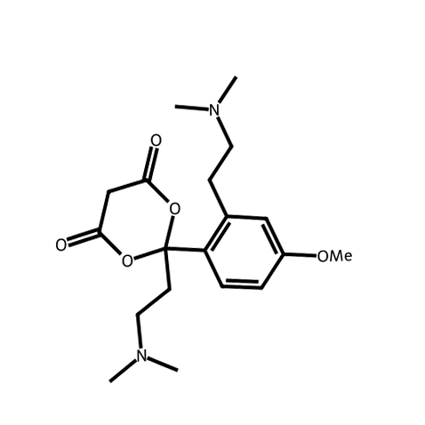 COc1ccc(C2(CCN(C)C)OC(=O)CC(=O)O2)c(CCN(C)C)c1